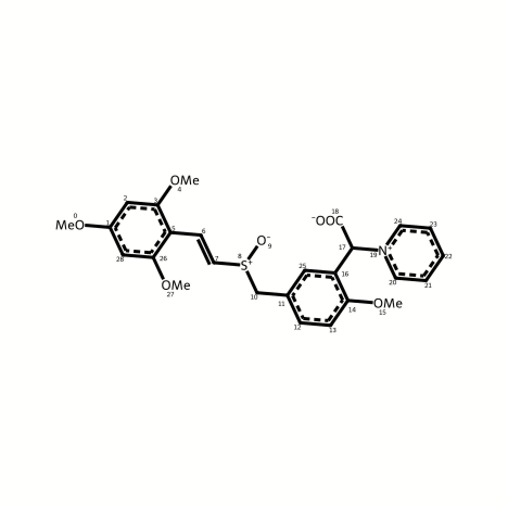 COc1cc(OC)c(C=C[S+]([O-])Cc2ccc(OC)c(C(C(=O)[O-])[n+]3ccccc3)c2)c(OC)c1